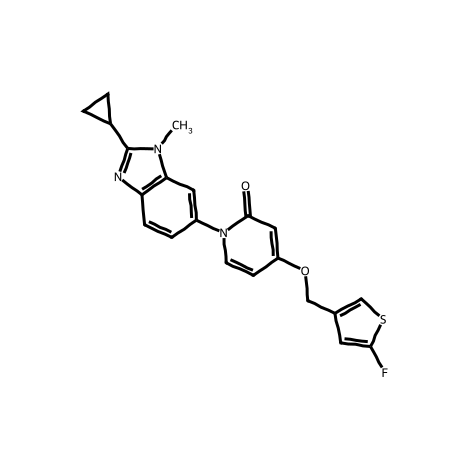 Cn1c(C2CC2)nc2ccc(-n3ccc(OCc4csc(F)c4)cc3=O)cc21